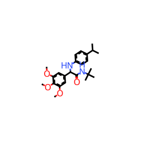 COc1cc(C(Nc2ccc(C(C)C)cc2)C(=O)NC(C)(C)C)cc(OC)c1OC